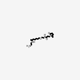 C=C(CCCCCOCCNC(=O)CCN1C(=C)C=CC1=O)NCCN